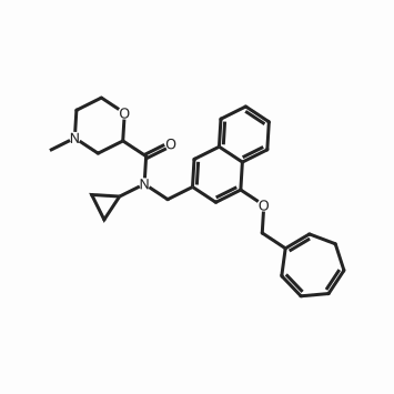 CN1CCOC(C(=O)N(Cc2cc(OCC3=CCC=CC=C3)c3ccccc3c2)C2CC2)C1